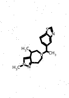 CC1CN(C(C)c2ccc3scnc3c2)CCc2nn(C)cc21